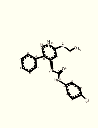 CCOc1cc(=NC(=O)Nc2ccc(Cl)cc2)c(-c2ccccc2)n[nH]1